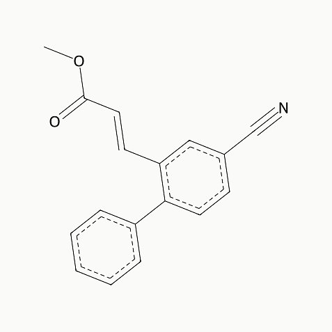 COC(=O)C=Cc1cc(C#N)ccc1-c1ccccc1